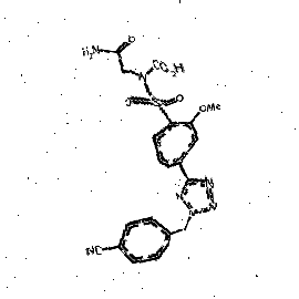 COc1cc(-c2nnn(Cc3ccc(C#N)cc3)n2)ccc1S(=O)(=O)N(CC(N)=O)C(=O)O